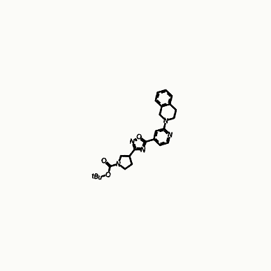 CC(C)(C)OC(=O)N1CCC(c2noc(-c3ccnc(N4CCc5ccccc5C4)c3)n2)C1